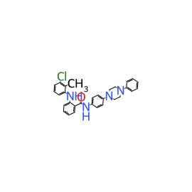 Cc1c(Cl)cccc1Nc1ccccc1C(=O)Nc1ccc(N2CCN(c3ccccc3)CC2)cc1